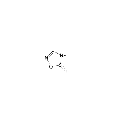 C=S1NC=NO1